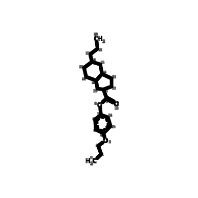 CCCOc1ccc(OC(=O)C2CCC3CC(CCC)CCC3C2)cc1